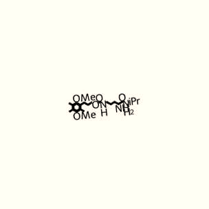 COc1c(C)c(C)c(OC)c(CCCOC(=O)NCCC[C@H](N)C(=O)NC(C)C)c1C